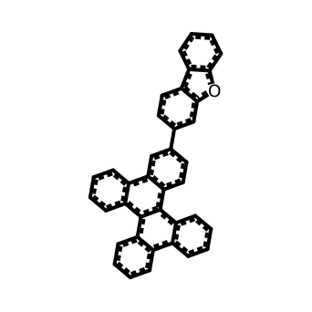 c1ccc2c(c1)oc1cc(-c3ccc4c(c3)c3ccccc3c3c5ccccc5c5ccccc5c43)ccc12